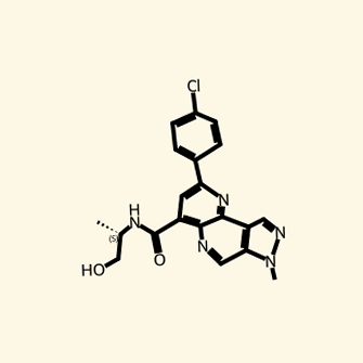 C[C@@H](CO)NC(=O)c1cc(-c2ccc(Cl)cc2)nc2c1ncc1c2cnn1C